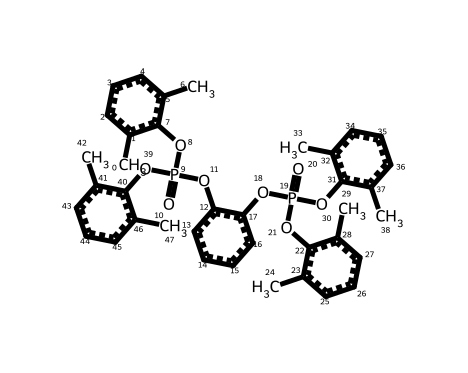 Cc1cccc(C)c1OP(=O)(Oc1ccccc1OP(=O)(Oc1c(C)cccc1C)Oc1c(C)cccc1C)Oc1c(C)cccc1C